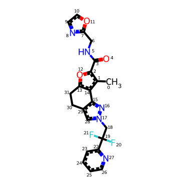 Cc1c(C(=O)NCc2ncco2)oc2c1-c1nn(CC(F)(F)c3ccccn3)cc1CC2